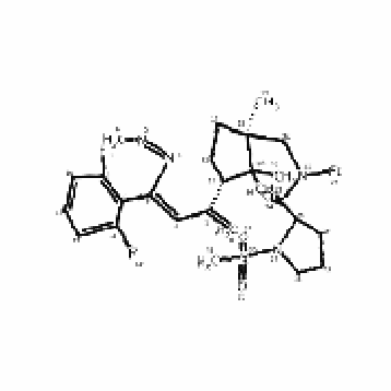 C=C(/C=C(\N=N/C)c1c(F)cccc1F)[C@@H]1CC[C@@](C)(CN(CC)C(=O)C2CCCN2S(C)(=O)=O)C1(C)C